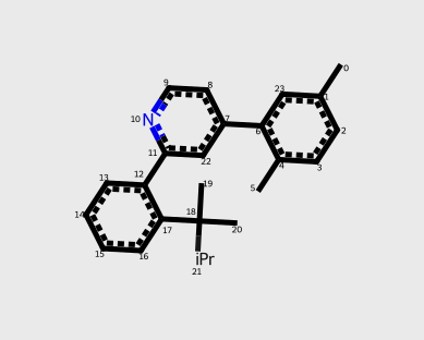 Cc1ccc(C)c(-c2ccnc(-c3ccccc3C(C)(C)C(C)C)c2)c1